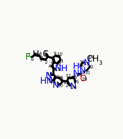 C=C(/C=C\C=C/CF)c1cccc2[nH]c(-c3n[nH]c4ncc(-c5cncc(NC(=O)N6CCN(C)CC6)c5)cc34)cc12